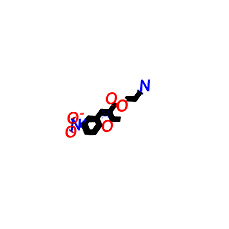 CC(=O)/C(=C\c1cccc([N+](=O)[O-])c1)C(=O)OCCC#N